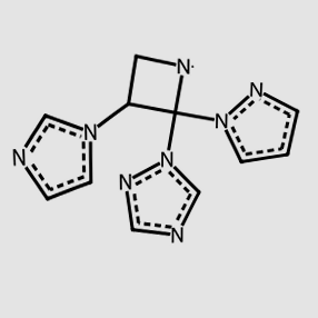 c1cnn(C2(n3cncn3)[N]CC2n2ccnc2)c1